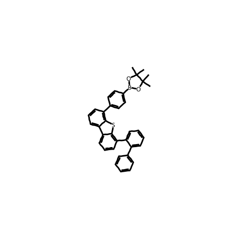 CC1(C)OB(c2ccc(-c3cccc4c3sc3c(-c5ccccc5-c5ccccc5)cccc34)cc2)OC1(C)C